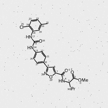 COC(=O)C(NC(=O)c1cc(-c2ccc(NC(=O)Nc3cc(C)ccc3Cl)cc2)no1)C(C)C